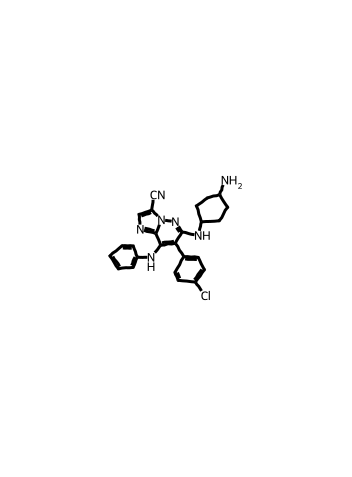 N#Cc1cnc2c(Nc3ccccc3)c(-c3ccc(Cl)cc3)c(NC3CCC(N)CC3)nn12